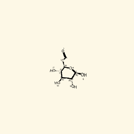 O=CO[C@H]1O[C@@H](O)[C@H](O)[C@@H](O)[C@@H]1O